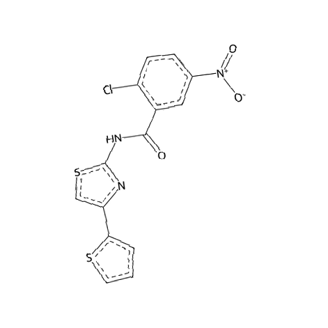 O=C(Nc1nc(-c2cccs2)cs1)c1cc([N+](=O)[O-])ccc1Cl